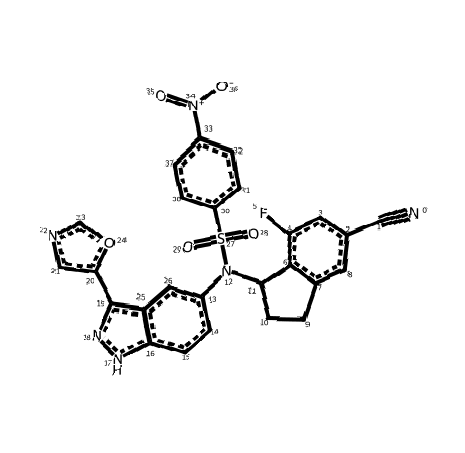 N#Cc1cc(F)c2c(c1)CCC2N(c1ccc2[nH]nc(-c3cnco3)c2c1)S(=O)(=O)c1ccc([N+](=O)[O-])cc1